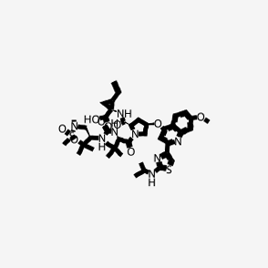 C=CC1C[C@]1(NC(=O)[C@@H]1C[C@@H](Oc2cc(-c3csc(NC(C)C)n3)nc3cc(OC)ccc23)CN1C(=O)[C@@H](NC(=O)N[C@H](CN(C)S(C)(=O)=O)C(C)(C)C)C(C)(C)C)C(=O)O